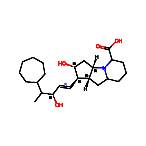 CC(C1CCCCCC1)[C@@H](O)/C=C/[C@@H]1[C@H]2CC3CCCC(C(=O)O)N3[C@@H]2C[C@H]1O